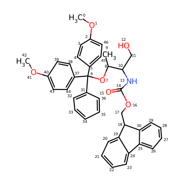 COc1ccc(C(OC(C)C(CO)NC(=O)OCC2c3ccccc3-c3ccccc32)(c2ccccc2)c2ccc(OC)cc2)cc1